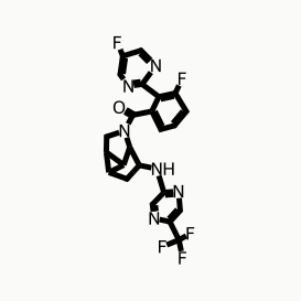 O=C(c1cccc(F)c1-c1ncc(F)cn1)N1CC2C3CC(Nc4cnc(C(F)(F)F)cn4)C1C32